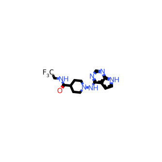 O=C(NCC(F)(F)F)C1CCN(Nc2ncnc3[nH]ccc23)CC1